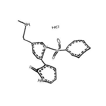 CNCc1cc(-c2ccc[nH]c2=O)n(S(=O)(=O)c2ccccc2)c1.Cl